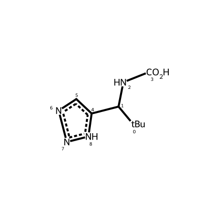 CC(C)(C)C(NC(=O)O)c1cnn[nH]1